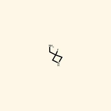 NCC1(F)CNC1